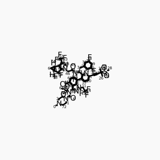 CN1CCN(C(=O)N(c2nn(CC(F)(F)F)c3c(-c4ccc(C#CC(C)(C)S(C)(=O)=O)nc4[C@H](Cc4cc(F)cc(F)c4)NC(=O)Cn4nc(C(F)(F)F)c5c4C(F)(F)[C@@H]4C[C@H]54)ccc(Cl)c23)S(C)(=O)=O)CC1